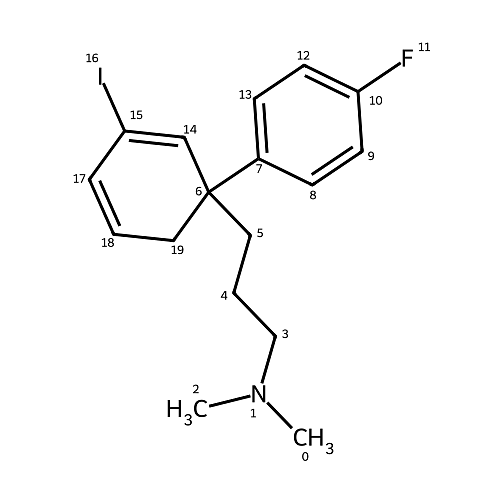 CN(C)CCCC1(c2ccc(F)cc2)C=C(I)C=CC1